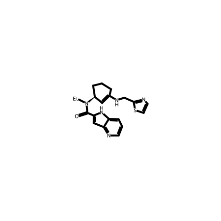 CCN(C(=O)c1cc2ncccc2[nH]1)[C@@H]1C=C(NCc2nccs2)CCC1